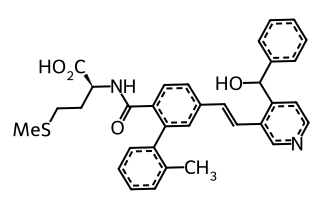 CSCC[C@H](NC(=O)c1ccc(C=Cc2cnccc2C(O)c2ccccc2)cc1-c1ccccc1C)C(=O)O